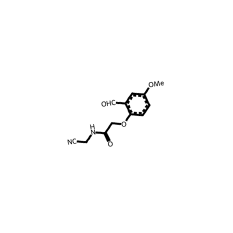 COc1ccc(OCC(=O)NCC#N)c(C=O)c1